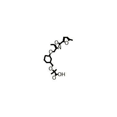 Cc1ccc(-c2nc(COC3CCCC(COC(C)(C)C(=O)O)C3)c(C)o2)o1